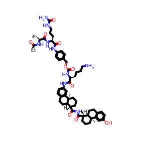 CCC(=O)N[C@H](C(=O)N[C@@H](CCCNC(N)=O)C(=O)Nc1ccc(COC(=O)N[C@@H](CCCCN)C(=O)Nc2ccc3c(c2)[C@@]2(C)CCC[C@](C)(C(=O)NC(=O)[C@@]4(C)CCC[C@]5(C)c6cc(O)ccc6CC[C@@H]45)[C@@H]2CC3)cc1)C(C)C